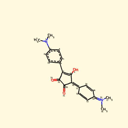 CN(C)c1ccc(C2=C(O)C(=C3C=CC(=[N+](C)C)C=C3)C(=O)C2=O)cc1